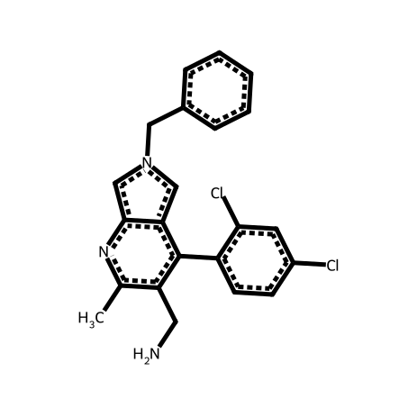 Cc1nc2cn(Cc3ccccc3)cc2c(-c2ccc(Cl)cc2Cl)c1CN